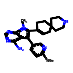 CNc1ccc(-c2c(C3=CCC4(CCNCC4)CC3)n(C)c3ncnc(N)c23)cn1